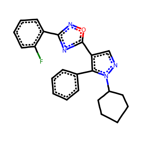 Fc1ccccc1-c1noc(-c2cnn(C3CCCCC3)c2-c2ccccc2)n1